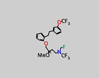 CO[C@H](CCN(CF)C(F)(F)F)COc1ccccc1CCc1cccc(OC(F)(F)F)c1